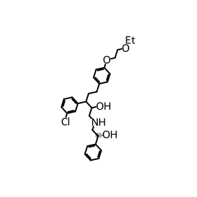 CCOCCOc1ccc(CCC(c2cccc(Cl)c2)C(O)CNC[C@H](O)c2ccccc2)cc1